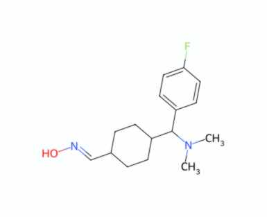 CN(C)C(c1ccc(F)cc1)C1CCC(C=NO)CC1